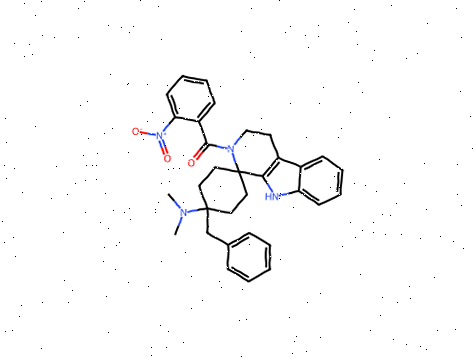 CN(C)C1(Cc2ccccc2)CCC2(CC1)c1[nH]c3ccccc3c1CCN2C(=O)c1ccccc1[N+](=O)[O-]